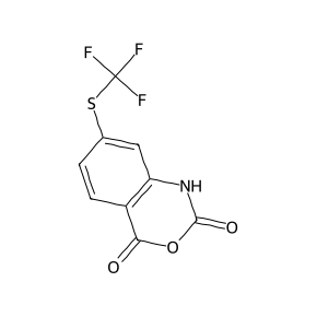 O=c1[nH]c2cc(SC(F)(F)F)ccc2c(=O)o1